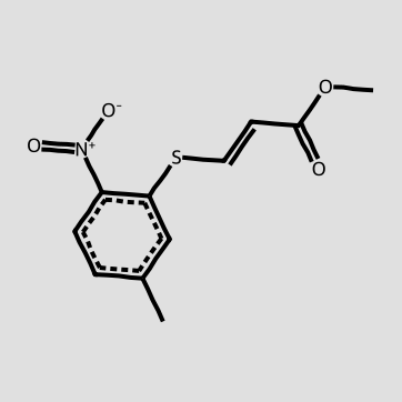 COC(=O)/C=C/Sc1cc(C)ccc1[N+](=O)[O-]